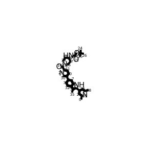 Cc1cc(-c2[nH]c3cc(-c4ccc(C(=O)N5CCC(NC(=O)OC(C)(C)C)CC5)nc4)ccc3c2C)cc(C)n1